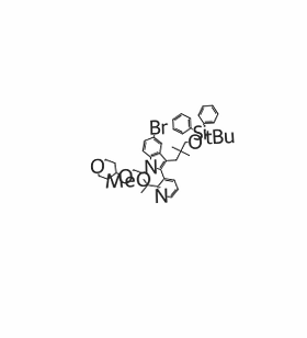 COC(C)c1ncccc1-c1c(CC(C)(C)CO[Si](c2ccccc2)(c2ccccc2)C(C)(C)C)c2cc(Br)ccc2n1CCOC1CCOCC1